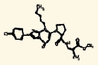 CCCCCn1c(N2CCC[C@H]2C(=O)NCC(C)C(=O)OC)cc(=O)n2cc(-c3ccc(Cl)cc3)nc12